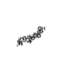 Cc1nc2cc(Oc3ccc(F)c4c3CC[C@H]4Oc3ccc4c(c3)OC[C@H]4CC(=O)O)ccc2s1